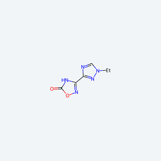 CCn1cnc(-c2noc(=O)[nH]2)n1